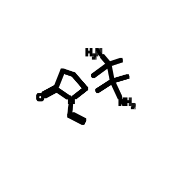 C=CN1CCCC1=O.CC(C)(N)C(C)(C)N